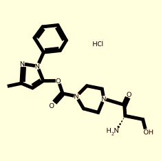 Cc1cc(OC(=O)N2CCN(C(=O)[C@@H](N)CO)CC2)n(-c2ccccc2)n1.Cl